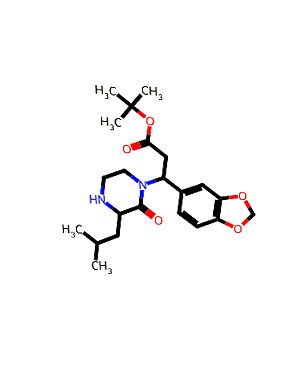 CC(C)CC1NCCN(C(CC(=O)OC(C)(C)C)c2ccc3c(c2)OCO3)C1=O